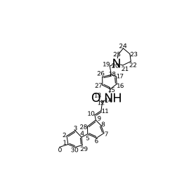 Cc1ccc(-c2cccc(C=CC(=O)Nc3ccc(CN4CCCCC4)cc3)c2)cc1